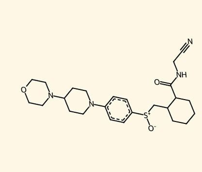 N#CCNC(=O)C1CCCCC1C[S+]([O-])c1ccc(N2CCC(N3CCOCC3)CC2)cc1